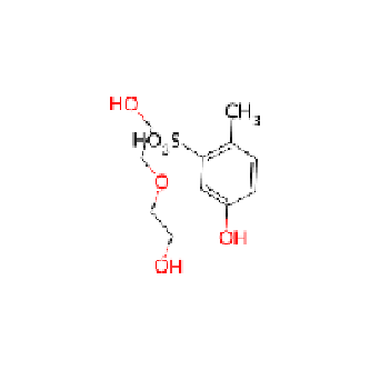 Cc1ccc(O)cc1S(=O)(=O)O.OCCOCCO